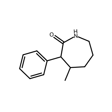 CC1CCCNC(=O)C1c1ccccc1